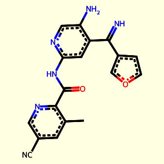 Cc1cc(C#N)cnc1C(=O)Nc1cc(C(=N)c2ccoc2)c(N)cn1